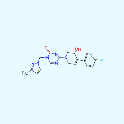 O=c1nc(N2CC=C(c3ccc(F)cc3)C(O)C2)ncn1Cn1ccc(C(F)(F)F)n1